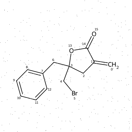 C=C1CC(CBr)(Cc2ccccc2)OC1=O